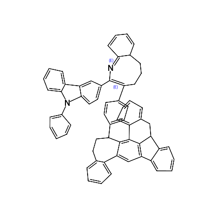 C1=C/C2=N/C(c3ccc4c(c3)c3ccccc3n4-c3ccccc3)=C(/c3ccc(C4CCc5ccccc5-c5cc6c7c(c54)-c4ccccc4CC7c4ccccc4-6)cc3)CCCC2C=C1